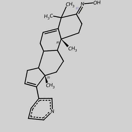 CC1(C)C2=CCC3C(CC[C@]4(C)C(c5cccnc5)=CCC34)[C@@]2(C)CC/C1=N\O